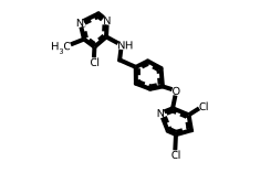 Cc1ncnc(NCc2ccc(Oc3ncc(Cl)cc3Cl)cc2)c1Cl